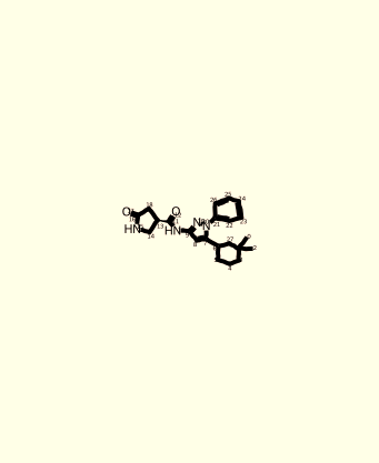 CC1(C)CCCC(c2cc(NC(=O)[C@H]3CNC(=O)C3)nn2-c2ccccc2)C1